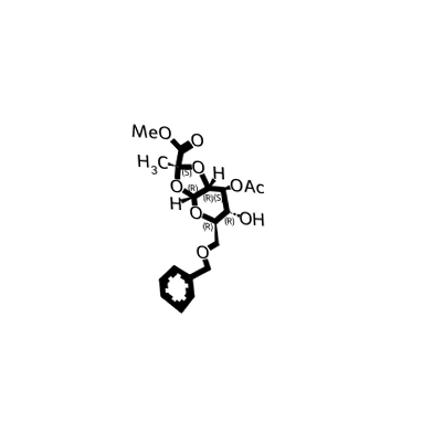 COC(=O)[C@]1(C)O[C@H]2O[C@H](COCc3ccccc3)[C@@H](O)[C@H](OC(C)=O)[C@H]2O1